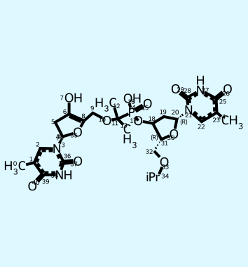 Cc1cn([C@H]2CC(O)=C(COC(C)(C)P(=O)(O)OC3C[C@H](n4cc(C)c(=O)[nH]c4=O)O[C@@H]3COC(C)C)O2)c(=O)[nH]c1=O